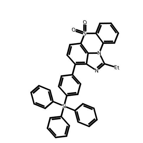 CCc1nc2c(-c3ccc([Si](c4ccccc4)(c4ccccc4)c4ccccc4)cc3)ccc3c2n1-c1ccccc1S3(=O)=O